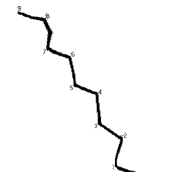 CC[C]CCCCCCC